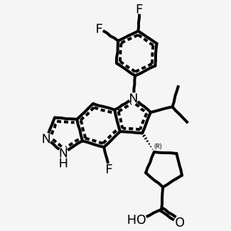 CC(C)c1c([C@@H]2CCC(C(=O)O)C2)c2c(F)c3[nH]ncc3cc2n1-c1ccc(F)c(F)c1